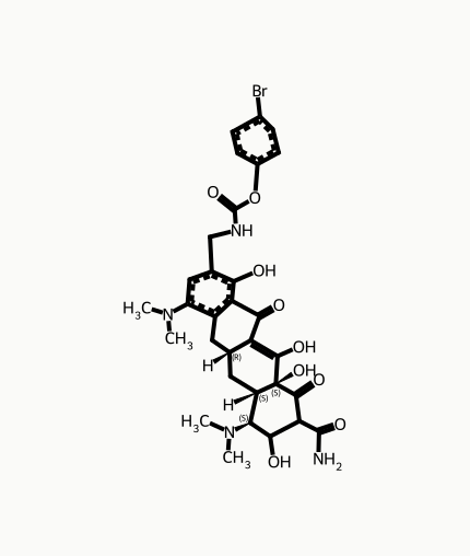 CN(C)c1cc(CNC(=O)Oc2ccc(Br)cc2)c(O)c2c1C[C@H]1C[C@H]3[C@H](N(C)C)C(O)C(C(N)=O)C(=O)[C@@]3(O)C(O)=C1C2=O